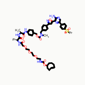 CC(C)[C@H](NC(=O)COCCOCCOCCNC(=O)OC1CC/C=C/CCC1)C(=O)N[C@@H](C)C(=O)Nc1ccc(COC(=O)N(C)Cc2ccc(-c3cc(-c4nc(-c5ccc(S(=O)(=O)C(C)C)cc5)cnc4N)on3)cc2)cc1